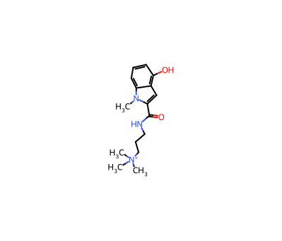 Cn1c(C(=O)NCCC[N+](C)(C)C)cc2c(O)cccc21